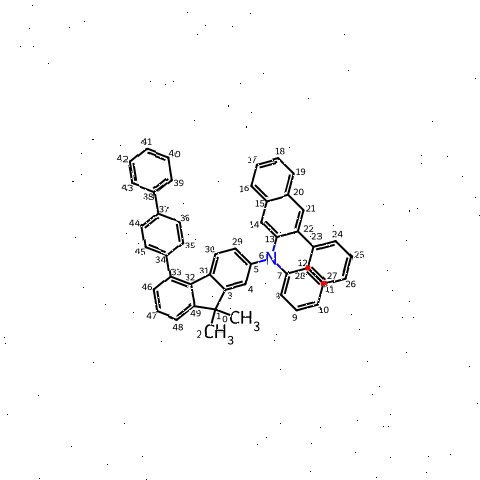 CC1(C)c2cc(N(c3ccccc3)c3cc4ccccc4cc3-c3ccccc3)ccc2-c2c(-c3ccc(-c4ccccc4)cc3)cccc21